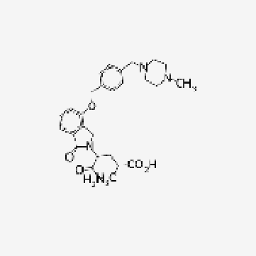 CC(CC(C(N)=O)N1Cc2c(OCc3ccc(CN4CCN(C)CC4)cc3)cccc2C1=O)C(=O)O